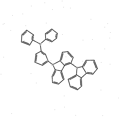 c1ccc(N(c2ccccc2)c2cccc(-n3c4ccccc4c4c(-n5c6ccccc6c6ccccc65)cccc43)c2)cc1